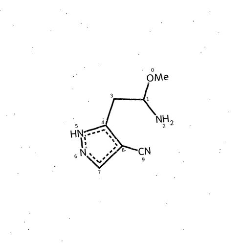 COC(N)Cc1[nH]ncc1C#N